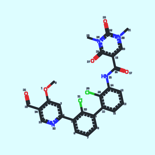 COc1cc(-c2cccc(-c3cccc(NC(=O)c4cn(C)c(=O)n(C)c4=O)c3Cl)c2Cl)ncc1C=O